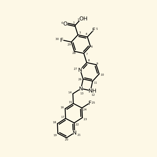 O=C(O)c1c(F)cc(-c2ccc3[nH]n(Cc4cc5cccnc5cc4F)c3n2)cc1F